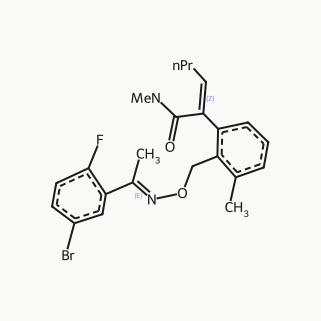 CCC/C=C(\C(=O)NC)c1cccc(C)c1CO/N=C(\C)c1cc(Br)ccc1F